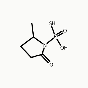 CC1CCC(=O)N1P(=O)(O)S